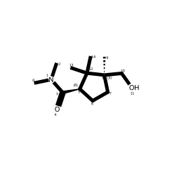 CN(C)C(=O)[C@@H]1CC[C@](C)(CO)C1(C)C